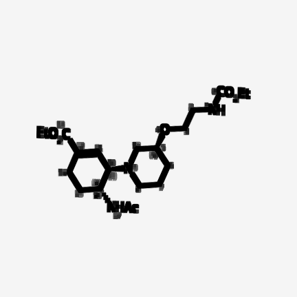 CCOC(=O)NCCO[C@H]1CCCN([C@@H]2C=C(C(=O)OCC)CC[C@H]2NC(C)=O)C1